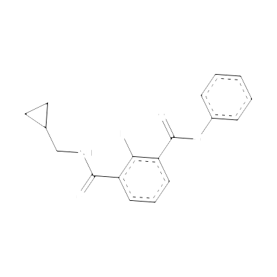 O=C(NCC1CC1)c1cccc(C(=O)Oc2ccccc2)c1F